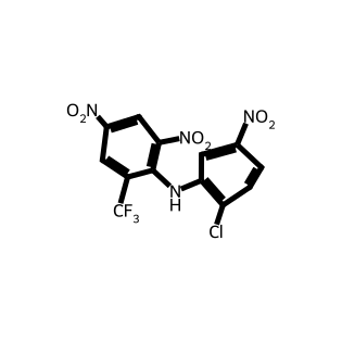 O=[N+]([O-])c1ccc(Cl)c(Nc2c([N+](=O)[O-])cc([N+](=O)[O-])cc2C(F)(F)F)c1